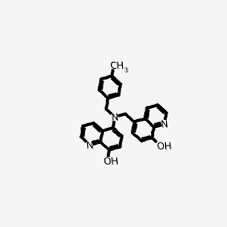 Cc1ccc(CN(Cc2ccc(O)c3ncccc23)c2ccc(O)c3ncccc23)cc1